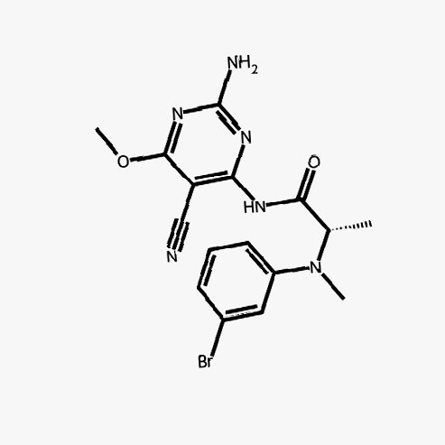 COc1nc(N)nc(NC(=O)[C@H](C)N(C)c2cccc(Br)c2)c1C#N